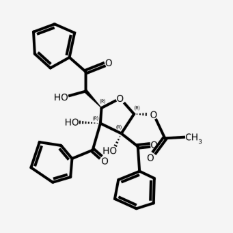 CC(=O)O[C@H]1O[C@H](C(O)C(=O)c2ccccc2)[C@](O)(C(=O)c2ccccc2)[C@]1(O)C(=O)c1ccccc1